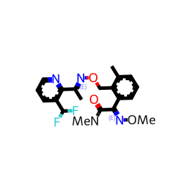 CNC(=O)/C(=N/OC)c1cccc(C)c1CO/N=C(\C)c1ncccc1C(F)F